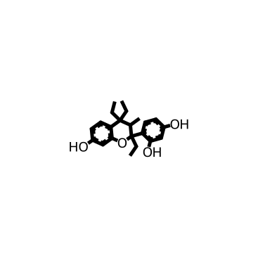 CCC1(CC)c2ccc(O)cc2OC(CC)(c2ccc(O)cc2O)C1C